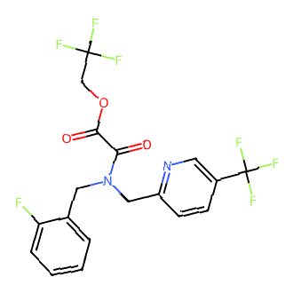 O=C(OCC(F)(F)F)C(=O)N(Cc1ccc(C(F)(F)F)cn1)Cc1ccccc1F